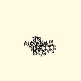 Cc1cc(CNC(=O)c2cc3cccc(Cl)c3nc2[C@H](C)Nc2ncnc(N)c2N)n(C)n1